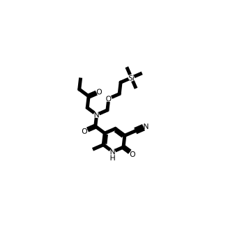 CCC(=O)CN(COCC[Si](C)(C)C)C(=O)c1cc(C#N)c(=O)[nH]c1C